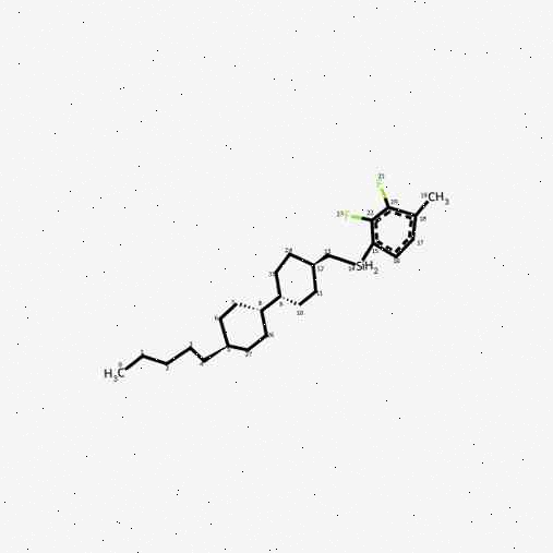 CCCCC[C@H]1CC[C@H]([C@H]2CC[C@H](C[SiH2]c3ccc(C)c(F)c3F)CC2)CC1